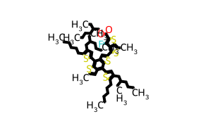 CCCCCCc1sc(-c2c3cc(-c4sc(C)c5sc(C(=O)OCC(CC)CCCC)c(F)c45)sc3c(-c3cc(CC(CC)CCCC)c(CCCCCC)s3)c3cc(C)sc23)cc1CC(CC)CCCC